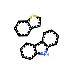 c1ccc2c(c1)[nH]c1ccccc12.c1ccc2sccc2c1